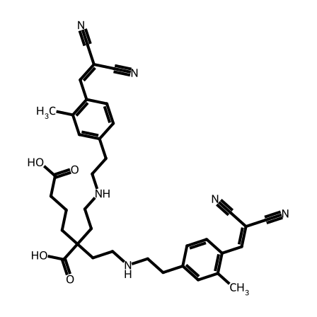 Cc1cc(CCNCCC(CCCC(=O)O)(CCNCCc2ccc(C=C(C#N)C#N)c(C)c2)C(=O)O)ccc1C=C(C#N)C#N